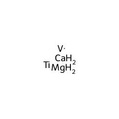 [CaH2].[MgH2].[Ti].[V]